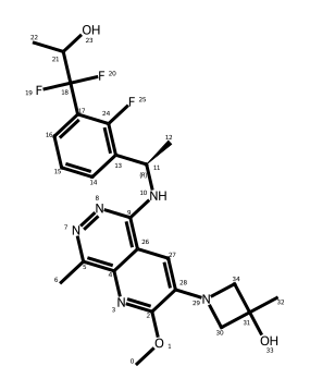 COc1nc2c(C)nnc(N[C@H](C)c3cccc(C(F)(F)C(C)O)c3F)c2cc1N1CC(C)(O)C1